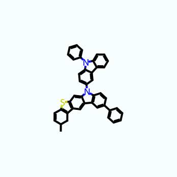 CC1C=Cc2sc3cc4c(cc3c2C1)c1cc(-c2ccccc2)ccc1n4-c1ccc2c(c1)c1ccccc1n2-c1ccccc1